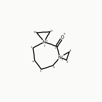 O=C1[N+]2(CCCC[N+]13CC3)CC2